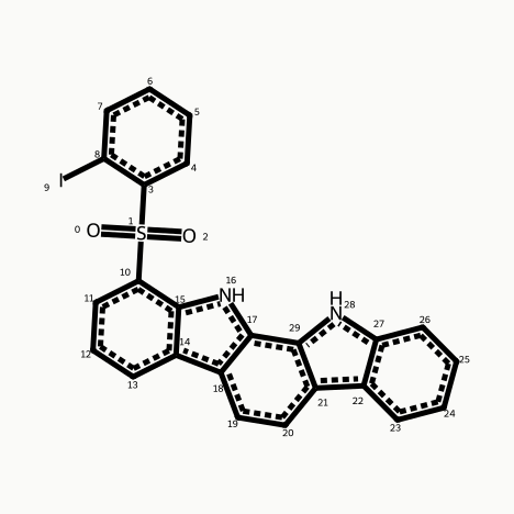 O=S(=O)(c1ccccc1I)c1cccc2c1[nH]c1c2ccc2c3ccccc3[nH]c21